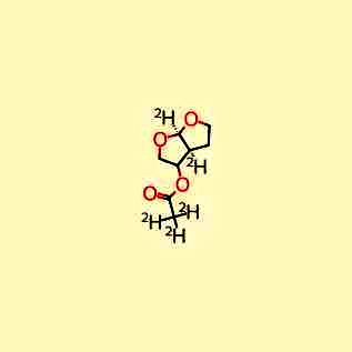 [2H]C([2H])([2H])C(=O)OC1CO[C@@]2([2H])OCC[C@@]12[2H]